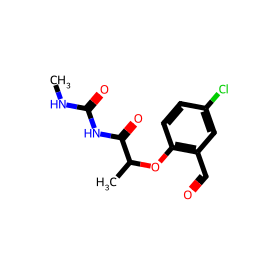 CNC(=O)NC(=O)C(C)Oc1ccc(Cl)cc1C=O